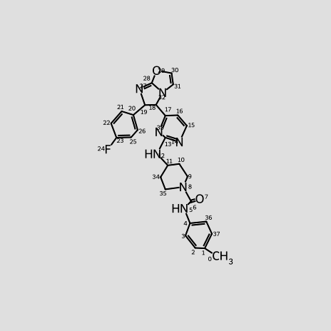 Cc1ccc(NC(=O)N2CCC(Nc3nccc(C4C(c5ccc(F)cc5)N=C5OC=CN54)n3)CC2)cc1